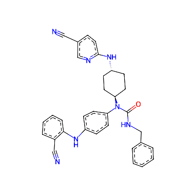 N#Cc1ccc(N[C@H]2CC[C@H](N(C(=O)NCc3ccccc3)c3ccc(Nc4ccccc4C#N)cc3)CC2)nc1